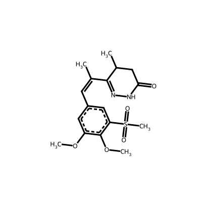 COc1cc(C=C(C)C2=NNC(=O)CC2C)cc(S(C)(=O)=O)c1OC